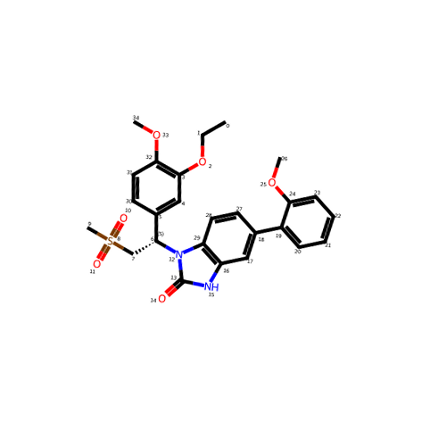 CCOc1cc([C@@H](CS(C)(=O)=O)n2c(=O)[nH]c3cc(-c4ccccc4OC)ccc32)ccc1OC